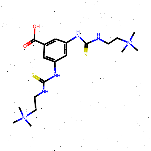 C[N+](C)(C)CCNC(=S)Nc1cc(NC(=S)NCC[N+](C)(C)C)cc(C(=O)O)c1